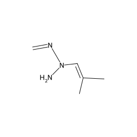 C=NN(N)C=C(C)C